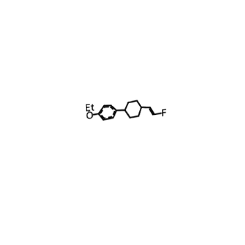 CCOc1ccc(C2CCC(C=CF)CC2)cc1